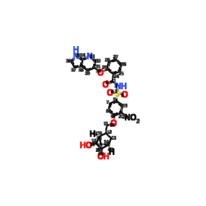 O=C(NS(=O)(=O)c1ccc(OCC2C[C@@H]3C[C@H]2[C@H](O)[C@@H]3O)c([N+](=O)[O-])c1)c1ccccc1Oc1cnc2[nH]ccc2c1